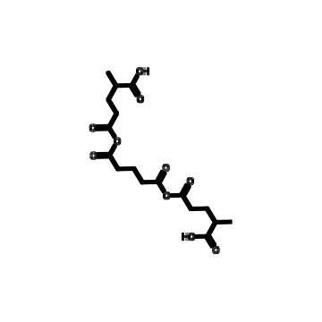 CC(CCC(=O)OC(=O)CCCC(=O)OC(=O)CCC(C)C(=O)O)C(=O)O